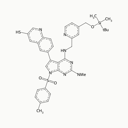 CNc1nc(NCc2cc(CO[Si](C)(C)C(C)(C)C)ccn2)c2c(-c3ccc4ncc(S)cc4c3)cn(S(=O)(=O)c3ccc(C)cc3)c2n1